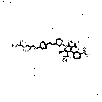 COC(=O)C1=C(C#N)N(N2CCCC(CCc3ccc(OCC(O)CNC(C)C)cc3)C2)C(C)C(C(=O)O)=C1c1cccc([N+](=O)[O-])c1